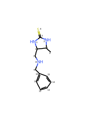 CC1NC(=S)NC1CNCc1ccccc1